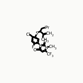 C=C(C)C(CC(C)C)Sc1cc(-n2c(=O)cc(C(F)(F)F)n(C)c2=O)c(F)cc1Cl